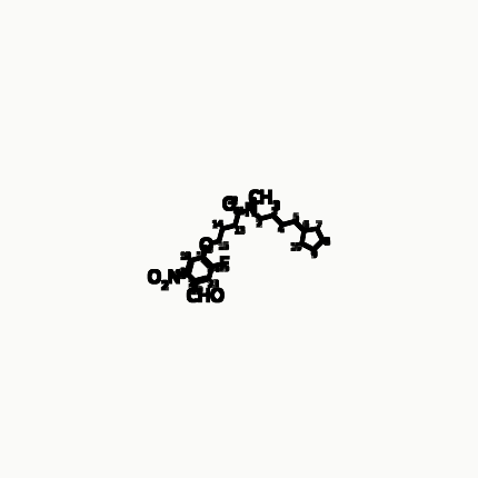 CN(CCCCC1CCCC1)C(=O)CCCOc1cc([N+](=O)[O-])c(C=O)cc1F